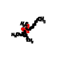 CCCCCCCCCC(COC)OC(=O)c1cc(CCC)cc(CCC)c1